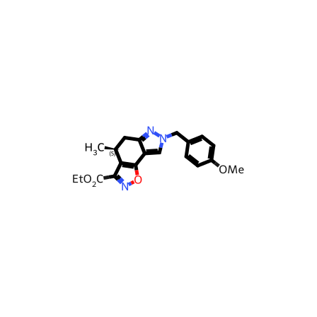 CCOC(=O)c1noc2c1[C@@H](C)Cc1nn(Cc3ccc(OC)cc3)cc1-2